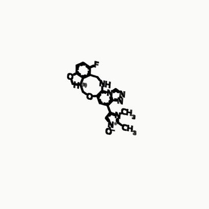 Cc1n(C)c(-c2cc3c(n4cnnc24)NCc2c(F)ccc4c2[C@H](CO4)CO3)c[n+]1[O-]